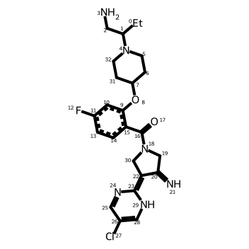 CCC(CN)N1CCC(Oc2cc(F)ccc2C(=O)N2CC(=N)/C(=C3/N=CC(Cl)=CN3)C2)CC1